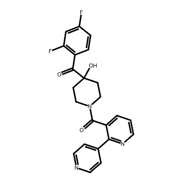 O=C(c1cccnc1-c1ccncc1)N1CCC(O)(C(=O)c2ccc(F)cc2F)CC1